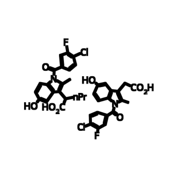 CCCC(C(=O)O)c1c(C)n(C(=O)c2ccc(Cl)c(F)c2)c2ccc(O)cc12.Cc1c(CC(=O)O)c2cc(O)ccc2n1C(=O)c1ccc(Cl)c(F)c1